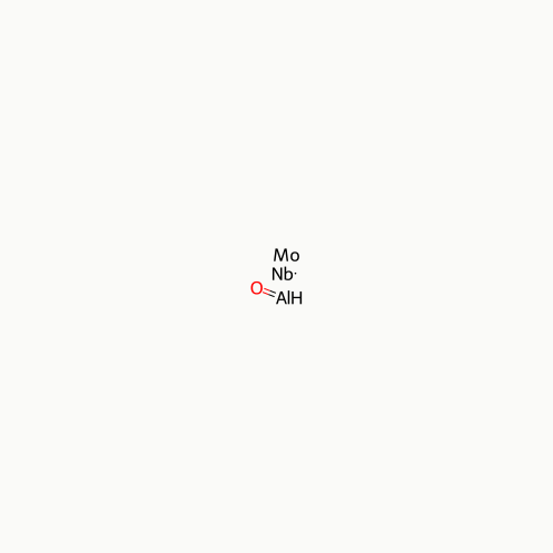 [Mo].[Nb].[O]=[AlH]